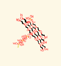 O=P(O)(O)O.O=P(O)(O)O.O=P(O)(O)O.OCCOCCOCCO.OCCOCCOCCOCCO.OCCOCCOCCOCCOCCOCCO.OCCOCCOCCOCCOCCOCCO.OP(O)(O)=S